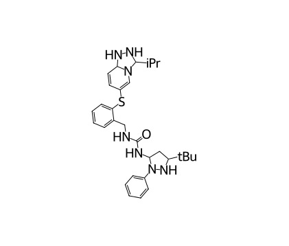 CC(C)C1NNC2C=CC(Sc3ccccc3CNC(=O)NC3CC(C(C)(C)C)NN3c3ccccc3)=CN21